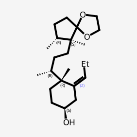 CC/C=C1/C[C@@H](O)CC[C@]1(C)[C@H](C)CC[C@@]1(C)[C@H](C)CCC12OCCO2